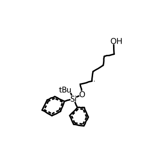 CC(C)(C)[Si](OC[CH]CCCCO)(c1ccccc1)c1ccccc1